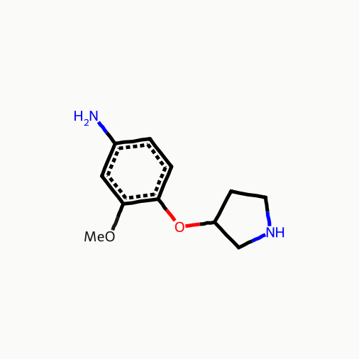 COc1cc(N)ccc1OC1CCNC1